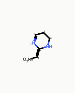 O=[N+]([O-])C=C1N=CCCN1